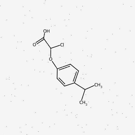 CC(C)c1ccc(OC(Cl)C(=O)O)cc1